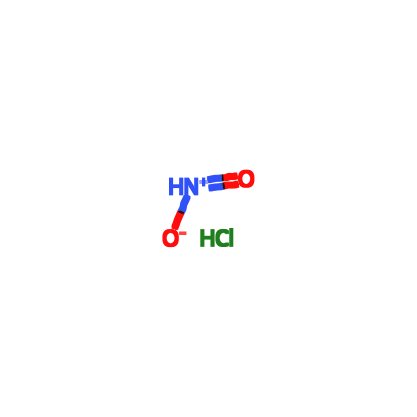 Cl.O=[NH+][O-]